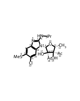 CSc1cc2nc(NC(C)C)n([C@@H]3O[C@H](C)[C@](O)(C(C)=O)[C@]3(O)C(C)=O)c2cc1Cl